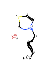 Br.CC=CCN1C=CSC1